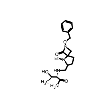 CCN1C(CN[C@H](C(N)=O)[C@@H](C)O)CCC12CN(OCc1ccccc1)C2=O